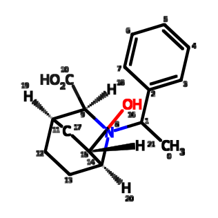 CC(c1ccccc1)N1[C@H](C(=O)O)[C@@H]2CC[C@H]1[C@@H](O)C2